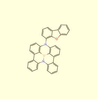 c1ccc2c(c1)-c1cccc3c1B1c4c(cccc4N3c3cccc4c3oc3ccccc34)-c3ccccc3N12